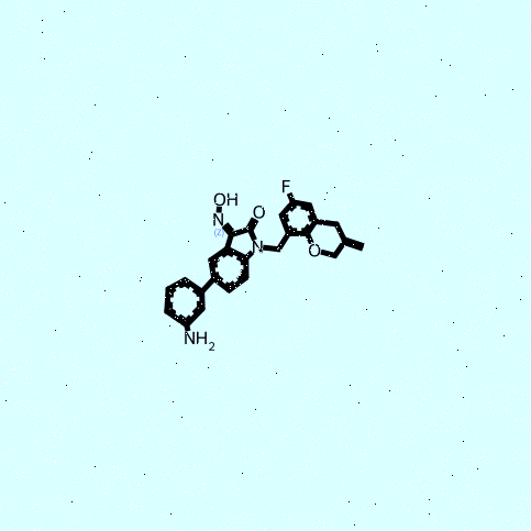 C=C1COc2c(cc(F)cc2CN2C(=O)/C(=N\O)c3cc(-c4cccc(N)c4)ccc32)C1